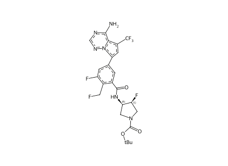 CC(C)(C)OC(=O)N1C[C@H](F)[C@H](NC(=O)c2cc(-c3cc(C(F)(F)F)c4c(N)ncnn34)cc(F)c2CF)C1